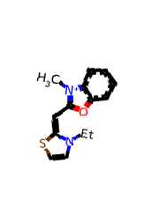 CCN1C=CSC1=Cc1oc2ccccc2[n+]1C